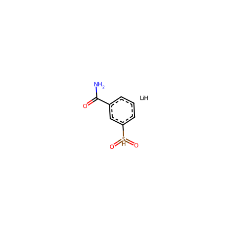 NC(=O)c1cccc([SH](=O)=O)c1.[LiH]